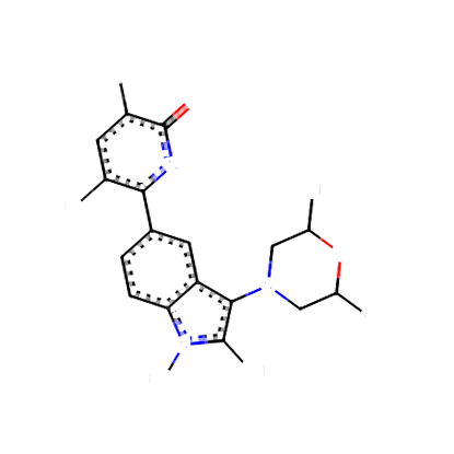 CCc1cc(C(=O)O)c(=O)[nH]c1-c1ccc2c(c1)c(N1CC(C)OC(C)C1)c(C)n2C